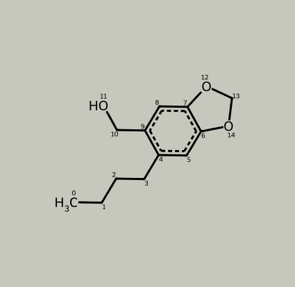 CCCCc1cc2c(cc1CO)OCO2